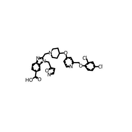 O=C(O)c1ccc2nc(CN3CCC(Oc4ccnc(COc5ccc(Cl)cc5Cl)c4)CC3)n(Cc3ccno3)c2c1